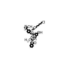 Cc1ncsc1-c1ccc(CNC(=O)[C@@H]2C[C@@H](O)CC2COC[C@H](C(C)C)N2Cc3ccccc3C2=O)c(OCCOCCCCCCCl)c1